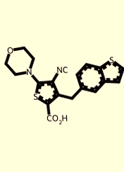 [C-]#[N+]c1c(N2CCOCC2)sc(C(=O)O)c1Cc1ccc2sccc2c1